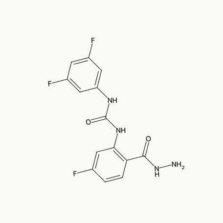 NNC(=O)c1ccc(F)cc1NC(=O)Nc1cc(F)cc(F)c1